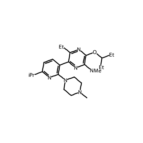 CCc1nc(OC(CC)CC)c(NC)nc1-c1ccc(C(C)C)nc1N1CCN(C)CC1